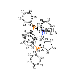 CN(C)[C@H](c1ccccc1P(c1ccccc1)c1ccccc1)C1CCC[C@H]1P(c1ccccc1)c1ccccc1